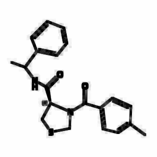 Cc1ccc(C(=O)N2CSC[C@H]2C(=O)NC(C)c2ccccc2)cc1